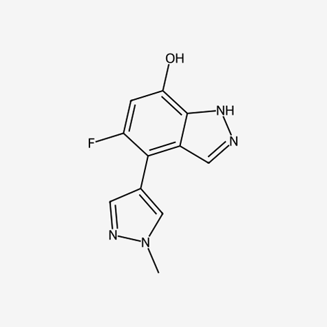 Cn1cc(-c2c(F)cc(O)c3[nH]ncc23)cn1